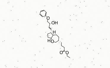 CCOC(=O)CCC[C@H]1CC[C@H]2[C@H](CC[C@@H]2/C=C/[C@@H](O)COc2ccccc2)OC1